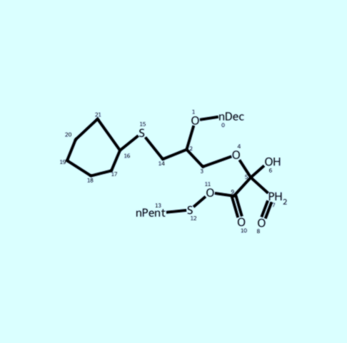 CCCCCCCCCCOC(COC(O)([PH2]=O)C(=O)OSCCCCC)CSC1CCCCC1